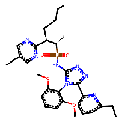 CCCC[C@H](c1ncc(C)cn1)[C@H](C)S(=O)(=O)Nc1nnc(-c2cccc(CC)n2)n1-c1c(OC)cccc1OC